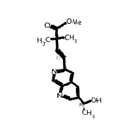 COC(=O)C(C)(C)/C=C/c1cc2cc([C@@H](C)O)cnc2cn1